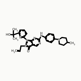 C=CCn1c(=O)c2cnc(Nc3ccc(N4CCC(C)CC4)cc3)nc2n1-c1cccc(C(C)(C)O)n1